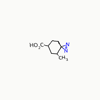 CC1CC(C(=O)O)CCC12N=N2